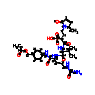 C=C1C=CC(=O)N1CC[C@H](C(=O)N[C@H](C(=O)N[C@@H](CCCNC(N)=O)C(=O)Nc1ccc(COC(C)=O)cc1)C(C)C)S(=O)(=O)O